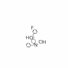 CN(C)C1(Cc2ccccc2)CCC(O)(CCc2cccc(F)c2)CC1.Cl